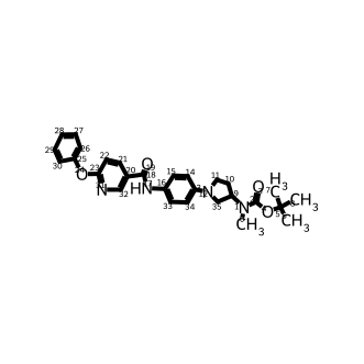 CN(C(=O)OC(C)(C)C)C1CCN(c2ccc(NC(=O)c3ccc(Oc4ccccc4)nc3)cc2)C1